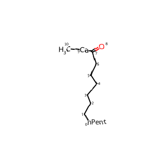 CCCCCCCCCCC[C](=O)[Ca][CH3]